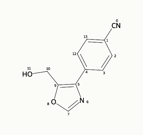 N#Cc1ccc(-c2ncoc2CO)cc1